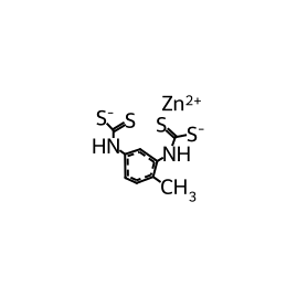 Cc1ccc(NC(=S)[S-])cc1NC(=S)[S-].[Zn+2]